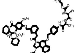 C=CCOC(=O)N[C@H](C(=O)N[C@@H](C)C(=O)Nc1ccc(COc2cc3c(c4ccccc24)[C@H](CCl)CN3C(=O)Cc2cccc(COc3cc4c(cc3OC)C(=O)N3CCCC[C@H]3C(OC3CCCCO3)N4C(=O)O)c2)cc1)C(C)C